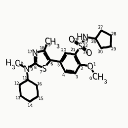 COc1ccc(-c2sc(N(C)C3CCCCC3)nc2C)cc1S(=O)(=O)NC1CCCC1